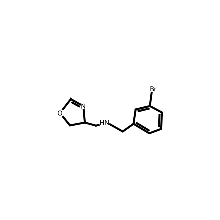 Brc1cccc(CNCC2CO[C]=N2)c1